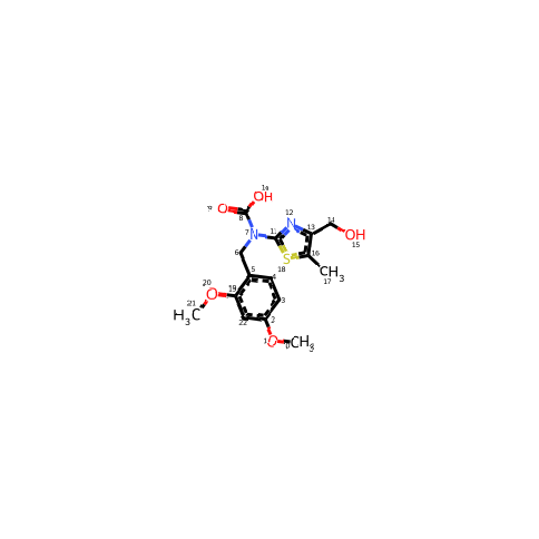 COc1ccc(CN(C(=O)O)c2nc(CO)c(C)s2)c(OC)c1